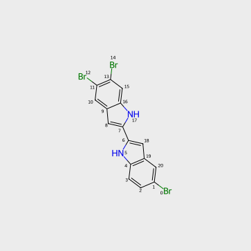 Brc1ccc2[nH]c(-c3cc4cc(Br)c(Br)cc4[nH]3)cc2c1